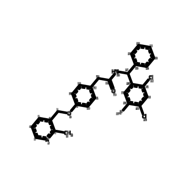 Cc1ncccc1COc1ccc(CC(=O)NC(c2ccccc2)c2cc(F)c(Cl)cc2Cl)cc1